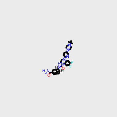 CC(C)(C)N1CCN(c2ccc(N3CCN(C(=O)NC4[C@@H]5CC6C[C@H]4CC(C(N)=O)(C6)C5)c4cc(F)c(F)cc43)nc2)CC1